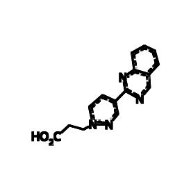 O=C(O)CC[n+]1ccc(-c2ncc3ccccc3n2)cn1